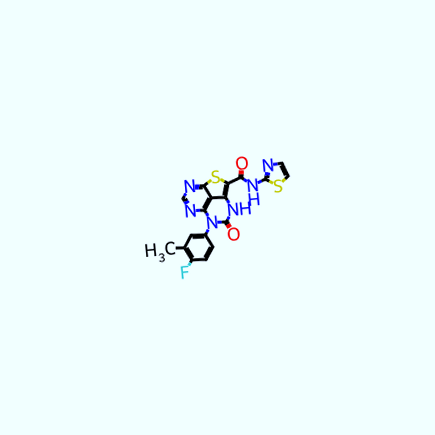 Cc1cc(N2C(=O)Nc3c(C(=O)Nc4nccs4)sc4ncnc2c34)ccc1F